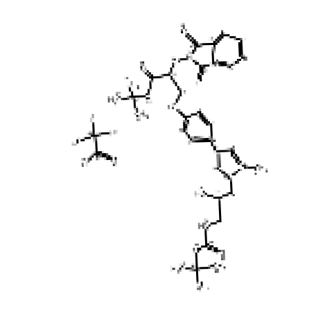 C[n+]1cc(-c2ccc(OCC(ON3C(=O)c4ccccc4C3=O)C(=O)OC(C)(C)C)cc2)cn1CC(O)CNC(=O)OC(C)(C)C.O=C([O-])C(F)(F)F